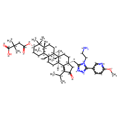 COc1ccc(-c2nnc(C[C@@]34CC[C@]5(C)[C@H](CC[C@@H]6[C@@]7(C)CC[C@H](OC(=O)CC(C)(C)C(=O)O)C(C)(C)[C@@H]7CC[C@]65C)C3=C(C(C)C)C(=O)C4)n2CCN)cn1